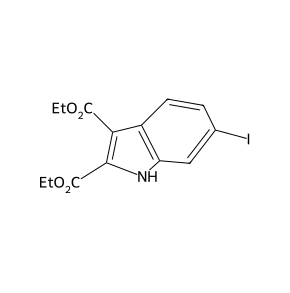 CCOC(=O)c1[nH]c2cc(I)ccc2c1C(=O)OCC